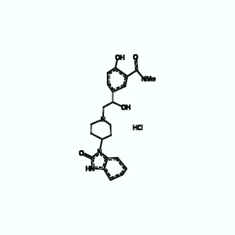 CNC(=O)c1cc(C(O)CN2CCC(n3c(=O)[nH]c4ccccc43)CC2)ccc1O.Cl